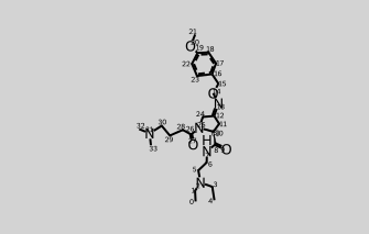 CCN(CC)CCNC(=O)[C@@H]1CC(=NOCc2ccc(OC)cc2)CN1C(=O)CCCN(C)C